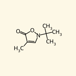 Cc1cn(C(C)(C)C)oc1=O